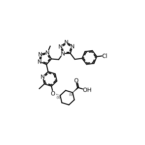 Cc1nc(-c2nnn(C)c2Cn2nnnc2Cc2ccc(Cl)cc2)ccc1O[C@H]1CCC[C@H](C(=O)O)C1